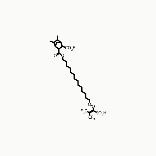 CCOC(=O)C1C2CC(C(C)C2C)C1C(=O)OCCCCCCCCCCCCCCOOC(=C(C(F)(F)F)C(F)(F)F)S(=O)(=O)O